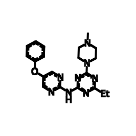 CCc1nc(Nc2ncc(Oc3ccccc3)cn2)nc(N2CCN(C)CC2)n1